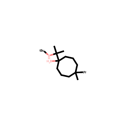 BC1(C(C)(C)BC(C)(C)C)CCCC(C)(C(C)C)CCC1